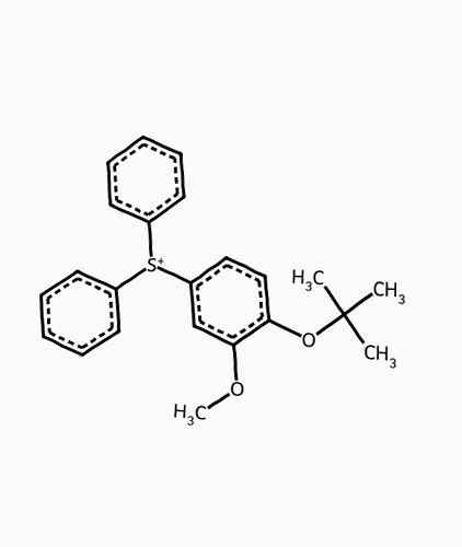 COc1cc([S+](c2ccccc2)c2ccccc2)ccc1OC(C)(C)C